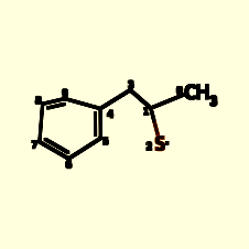 CC([S])Cc1ccccc1